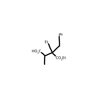 CCOC(=O)C(CC)(CC(C)C)C(C)C(=O)O